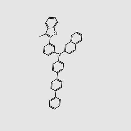 Cc1c(-c2cccc(N(c3ccc(-c4ccc(-c5ccccc5)cc4)cc3)c3ccc4ccccc4c3)c2)oc2ccccc12